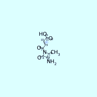 CC1[C@H](N)C(=O)N1C(=O)/C=C/C(=O)O